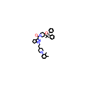 Cc1cccc(N2CCC(CCn3nc(C(=O)N4CCC(O[Si](c5ccccc5)(c5ccccc5)C(C)(C)C)CC4)c4c3CCC4)CC2)c1C